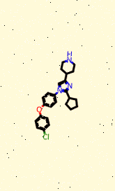 Clc1ccc(Oc2ccc(-n3cc(C4CCNCC4)nc3C3CCCC3)cc2)cc1